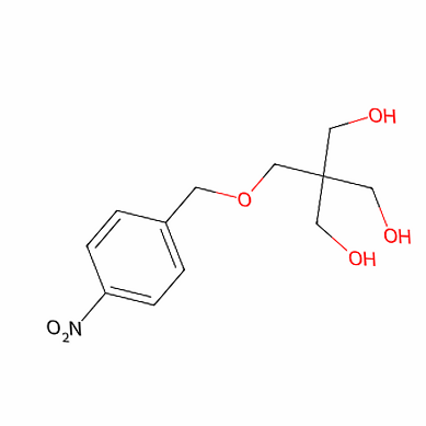 O=[N+]([O-])c1ccc(COCC(CO)(CO)CO)cc1